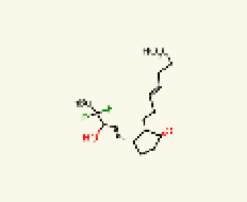 CCCCC(F)(F)C(O)C=C[C@H]1CCC(=O)[C@@H]1CC/C=C/CCC(=O)O